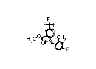 COC(=O)c1cc(C(F)(F)F)ncc1Nc1ccc(F)cc1C